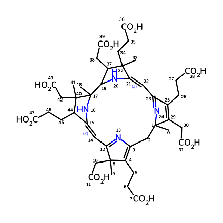 CC12CC3=C(CCC(=O)O)C(C)(CC(=O)O)C(=N3)/C=C3\NC(C)(C4N/C(=C\C(=N1)C(CCC(=O)O)=C2CC(=O)O)C(C)(CCC(=O)O)C4CC(=O)O)C(C)(CC(=O)O)C3CCC(=O)O